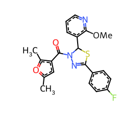 COc1ncccc1C1SC(c2ccc(F)cc2)=NN1C(=O)c1cc(C)oc1C